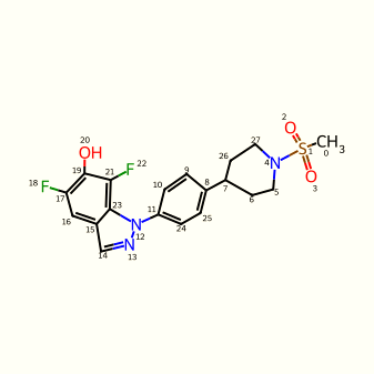 CS(=O)(=O)N1CCC(c2ccc(-n3ncc4cc(F)c(O)c(F)c43)cc2)CC1